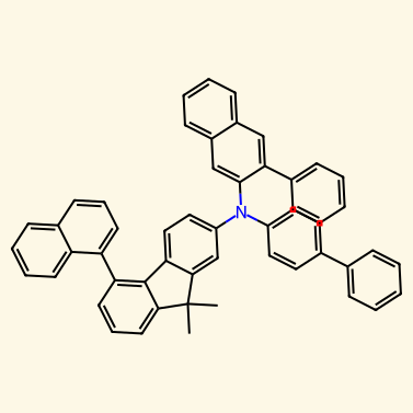 CC1(C)c2cc(N(c3ccc(-c4ccccc4)cc3)c3cc4ccccc4cc3-c3ccccc3)ccc2-c2c(-c3cccc4ccccc34)cccc21